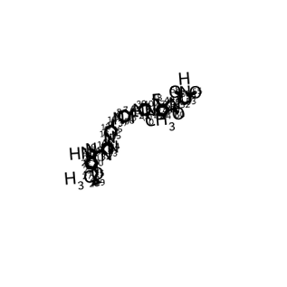 C[C@H]1CN(CC2(F)CCN(CC3CCN(c4cc(-c5n[nH]c6ccc(OC7(C)CC7)cc56)ncn4)CC3)CC2)CCN1c1ccc2c(c1F)CN(C1CCC(=O)NC1=O)C2=O